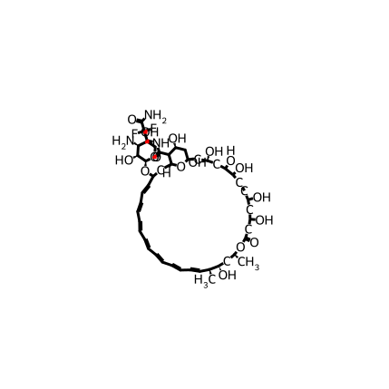 C[C@H]1C[C@H](O)[C@@H](C)/C=C/C=C/C=C/C=C/C=C/C=C/C=C/C(O[C@@H]2OC[C@@H](O)[C@H](N)[C@@H]2O)C[C@@H]2OC(O)(C[C@@H](O)CC(O)C(O)CCC(O)CC(O)CC(=O)O1)C[C@H](O)C2C(=O)NCC(F)(F)C(N)=O